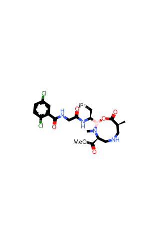 COC(=O)[C@@H]1CNC[C@H](C)C(=O)OB([C@H](CC(C)C)NC(=O)CNC(=O)c2cc(Cl)ccc2Cl)N1C